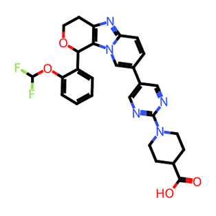 O=C(O)C1CCN(c2ncc(-c3ccc4nc5c(n4c3)C(c3ccccc3OC(F)F)OCC5)cn2)CC1